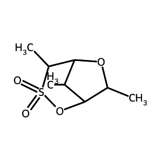 CC1OC2C(C)C1OS(=O)(=O)C2C